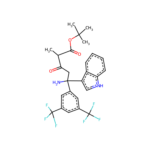 CC(C(=O)CC(N)(c1cc(C(F)(F)F)cc(C(F)(F)F)c1)c1c[nH]c2ccccc12)C(=O)OC(C)(C)C